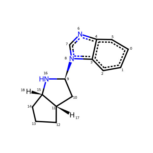 c1ccc2c(c1)ncn2[C@H]1C[C@@H]2CCC[C@@H]2N1